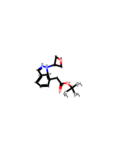 CC(C)(C)OC(=O)Cc1cccc2cnn(C3COC3)c12